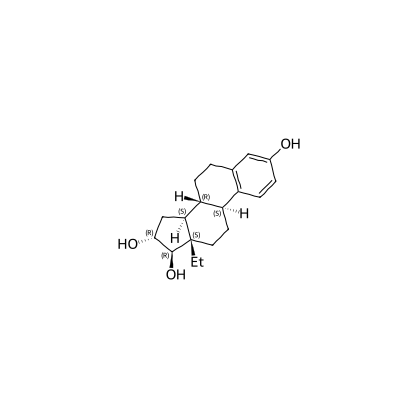 CC[C@]12CC[C@@H]3c4ccc(O)cc4CC[C@H]3[C@@H]1C[C@@H](O)[C@@H]2O